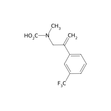 C=C(CN(C)C(=O)O)c1cccc(C(F)(F)F)c1